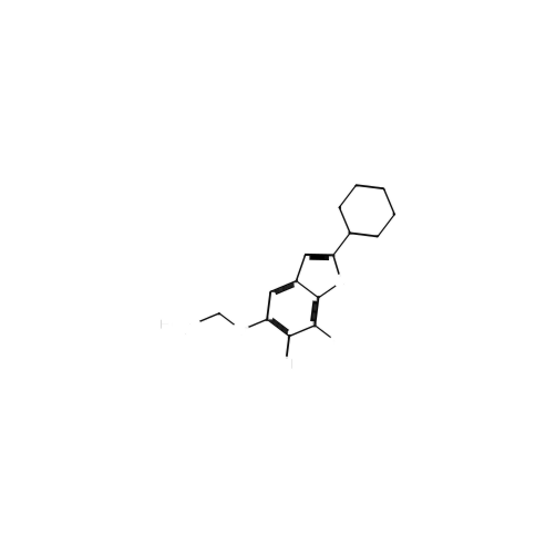 O=C(O)COc1cc2cc(C3CCCCC3)sc2c(Cl)c1Cl